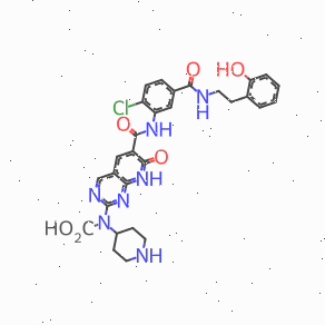 O=C(NCCc1ccccc1O)c1ccc(Cl)c(NC(=O)c2cc3cnc(N(C(=O)O)C4CCNCC4)nc3[nH]c2=O)c1